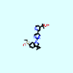 CC[S+]([O-])c1ccc2c(c1)N(c1ncc(-c3cc(C(C)(C)O)ccn3)cn1)CC21CC1